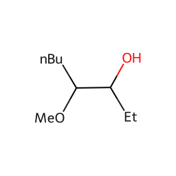 CCCCC(OC)C(O)CC